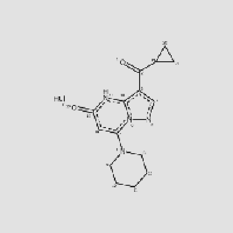 Cl.O=C(c1cnn2c(N3CCCCC3)cc(=O)[nH]c12)C1CC1